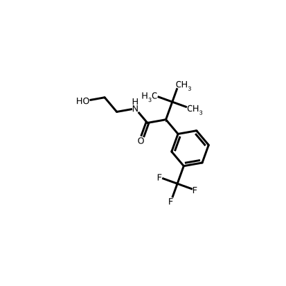 CC(C)(C)[C](C(=O)NCCO)c1cccc(C(F)(F)F)c1